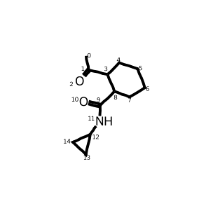 CC(=O)C1CCCCC1C(=O)NC1CC1